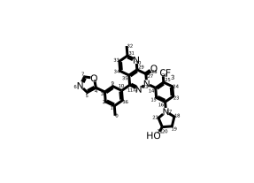 Cc1cc(-c2cnco2)cc(-c2nn(-c3cc(N4CCC(O)C4)ccc3C(F)(F)F)c(=O)c3nc(C)ccc23)c1